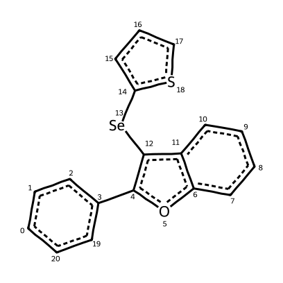 c1ccc(-c2oc3ccccc3c2[Se]c2cccs2)cc1